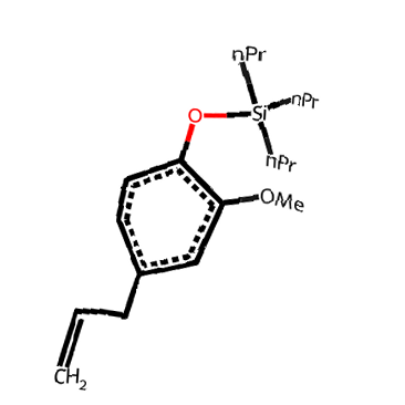 C=CCc1ccc(O[Si](CCC)(CCC)CCC)c(OC)c1